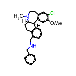 COc1cc2c(cc1Cl)CCN(C)[C@H]1CCc3c(CNCc4ccccc4)cccc3[C@H]21